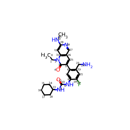 CCn1c(=O)c(-c2cc(NC(=O)NC3CCCCC3)c(F)cc2CN)cc2cnc(NC)cc21